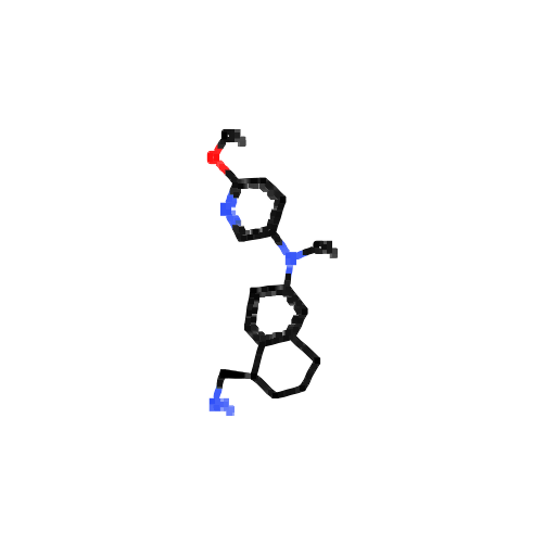 COc1ccc(N(C)c2ccc3c(c2)CCC[C@H]3CN)cn1